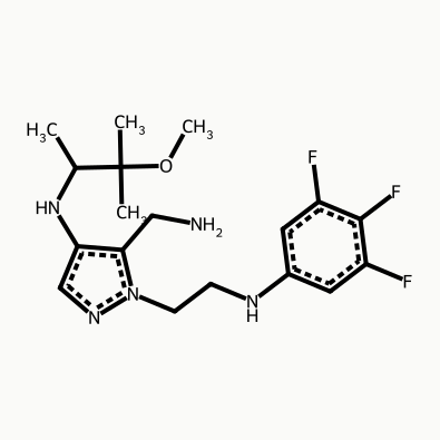 COC(C)(C)C(C)Nc1cnn(CCNc2cc(F)c(F)c(F)c2)c1CN